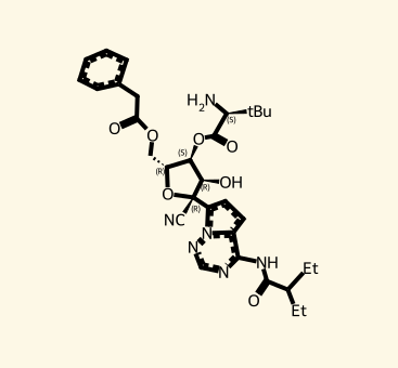 CCC(CC)C(=O)Nc1ncnn2c([C@]3(C#N)O[C@H](COC(=O)Cc4ccccc4)[C@@H](OC(=O)[C@@H](N)C(C)(C)C)[C@H]3O)ccc12